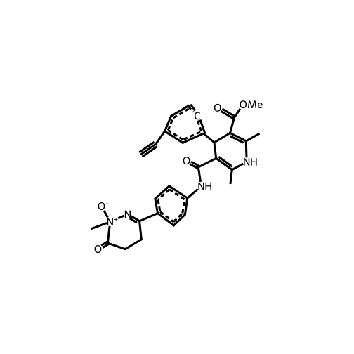 C#Cc1cccc(C2C(C(=O)Nc3ccc(C4=N[N+](C)([O-])C(=O)CC4)cc3)=C(C)NC(C)=C2C(=O)OC)c1